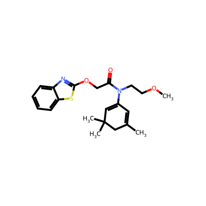 COCCN(C(=O)COc1nc2ccccc2s1)C1=CC(C)(C)CC(C)=C1